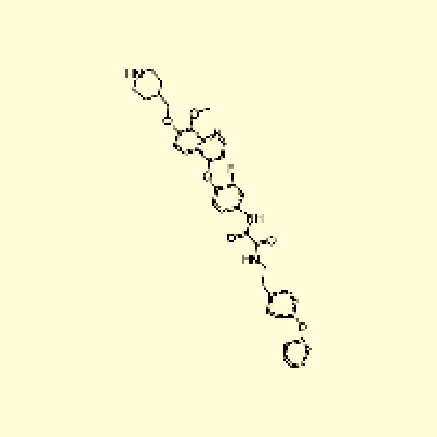 COc1c(OCC2CCNCC2)ccc2c(Oc3ccc(NC(=O)C(=O)NCCc4ccc(Oc5ccccc5)cc4)cc3F)ccnc12